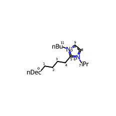 CCCCCCCCCCCCCCc1n(C(C)C)cc[n+]1CCCC